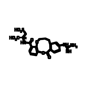 N=C(N)Nc1ccc2c(c1)CCCOc1c(cccc1C(=O)N[C@@H](CS(=O)(=O)O)C(=O)O)OC2=O